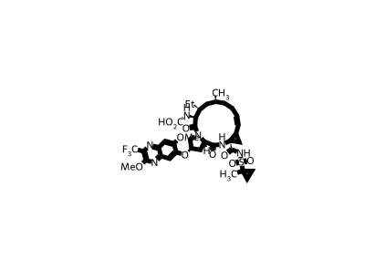 CC[C@@H]1C[C@H](C)CC/C=C\C2C[C@@]2(C(=O)NS(=O)(=O)C2(C)CC2)NC(=O)[C@@H]2C[C@@H](Oc3cc4nc(OC)c(C(F)(F)F)nc4cc3OC)CN2C(=O)[C@H]1NC(=O)O